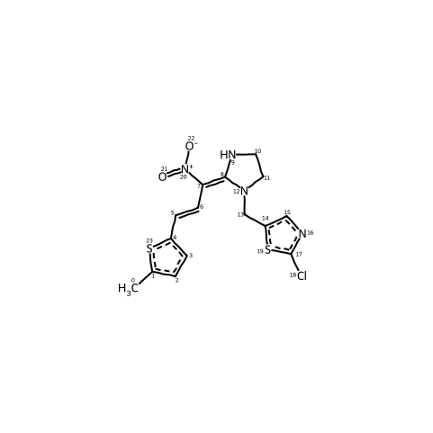 Cc1ccc(/C=C/C(=C2/NCCN2Cc2cnc(Cl)s2)[N+](=O)[O-])s1